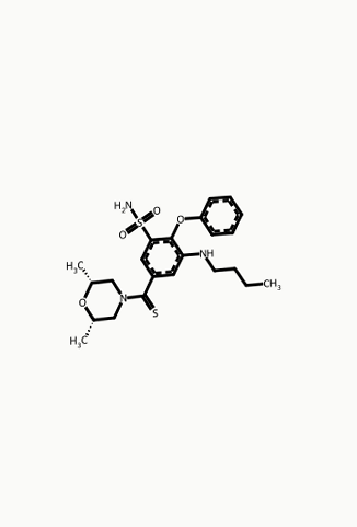 CCCCNc1cc(C(=S)N2C[C@@H](C)O[C@@H](C)C2)cc(S(N)(=O)=O)c1Oc1ccccc1